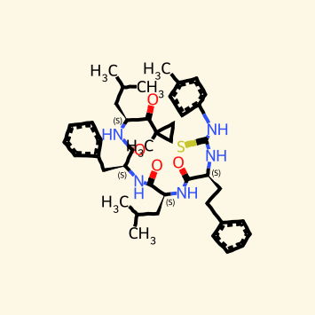 Cc1ccc(NC(=S)N[C@@H](CCc2ccccc2)C(=O)N[C@@H](CC(C)C)C(=O)N[C@@H](Cc2ccccc2)C(=O)N[C@@H](CC(C)C)C(=O)C2(C)CC2)cc1